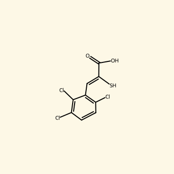 O=C(O)C(S)=Cc1c(Cl)ccc(Cl)c1Cl